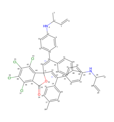 C=CC(C)Nc1ccc(/C(=C/C2(/C=C(\c3ccc(C)cc3)c3ccc(NC(C)C=C)cc3)OC(=O)c3c(Cl)c(Cl)c(Cl)c(Cl)c32)c2ccc(C)cc2)cc1